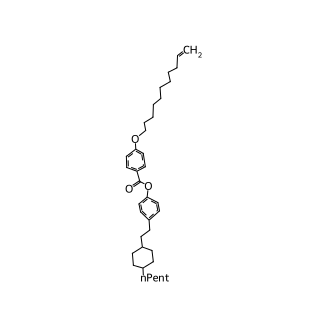 C=CCCCCCCCCCOc1ccc(C(=O)Oc2ccc(CCC3CCC(CCCCC)CC3)cc2)cc1